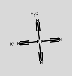 N#[C][Pd-]([C]#N)([C]#N)[C]#N.O.[K+]